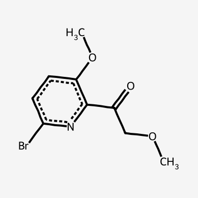 COCC(=O)c1nc(Br)ccc1OC